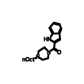 CCCCCCCCN1CCN(C(=O)c2cc3ccccc3[nH]2)CC1